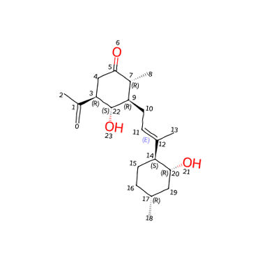 C=C(C)[C@H]1CC(=O)[C@H](C)[C@@H](C/C=C(\C)[C@@H]2CC[C@@H](C)C[C@H]2O)[C@@H]1O